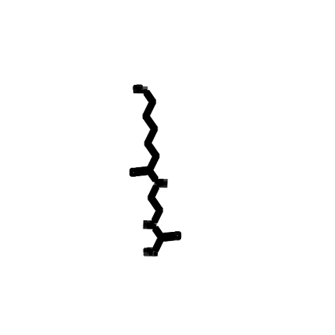 CC(C)(C)CCCCCC(=O)NCCNC(=O)C(C)(C)C